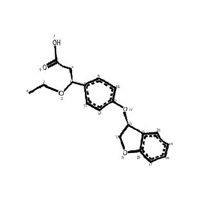 CCO[C@@H](CC(=O)O)c1ccc(O[C@@H]2COc3ccccc32)cc1